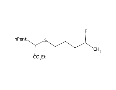 CCCCCC(SCCCC(C)F)C(=O)OCC